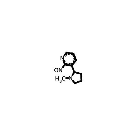 CN1CCCC1c1cccnc1N=O